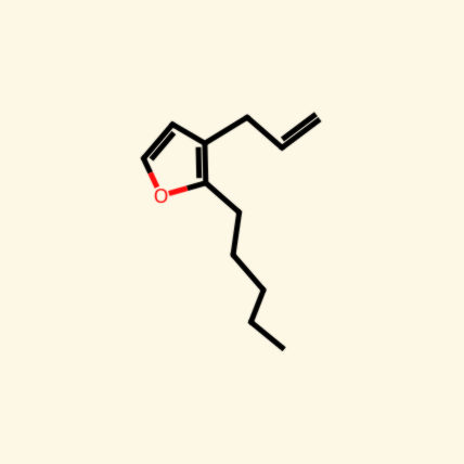 C=CCc1ccoc1CCCCC